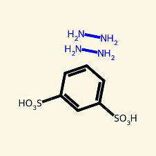 NN.NN.O=S(=O)(O)c1cccc(S(=O)(=O)O)c1